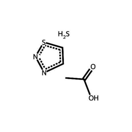 CC(=O)O.S.c1csnn1